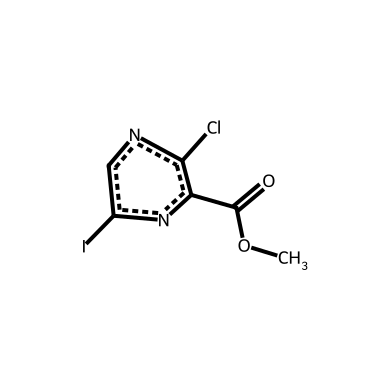 COC(=O)c1nc(I)cnc1Cl